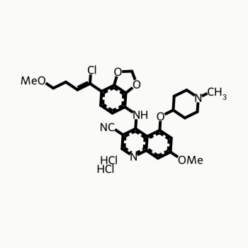 COCCC=C(Cl)c1ccc(Nc2c(C#N)cnc3cc(OC)cc(OC4CCN(C)CC4)c23)c2c1OCO2.Cl.Cl